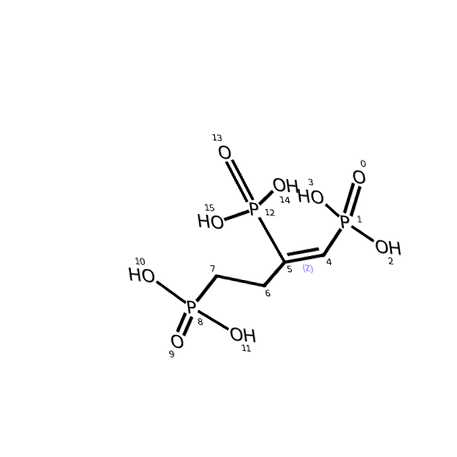 O=P(O)(O)/C=C(/CCP(=O)(O)O)P(=O)(O)O